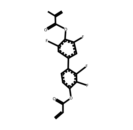 C=CC(=O)Oc1ccc(-c2cc(F)c(OC(=O)C(=C)C)c(F)c2)c(F)c1F